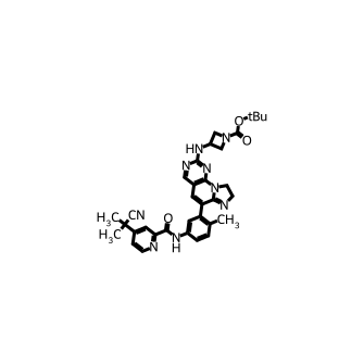 Cc1ccc(NC(=O)c2cc(C(C)(C)C#N)ccn2)cc1C1=Cc2cnc(NC3CN(C(=O)OC(C)(C)C)C3)nc2N2CCN=C12